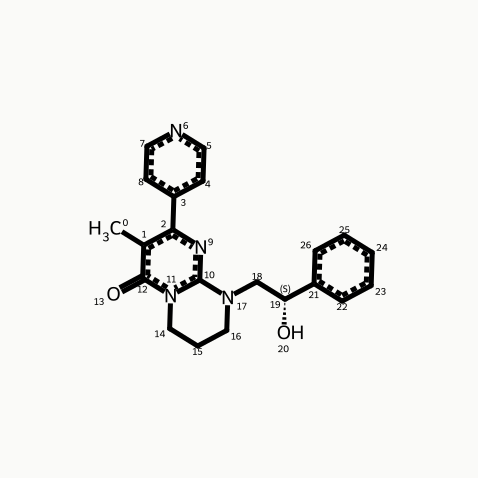 Cc1c(-c2ccncc2)nc2n(c1=O)CCCN2C[C@@H](O)c1ccccc1